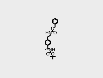 C[C@H](NC(=O)OC(C)(C)C)c1ccc(CCNC(=O)OCc2ccccc2)cc1